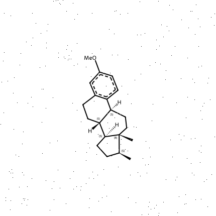 COc1ccc2c(c1)CC[C@@H]1[C@@H]2CC[C@]2(C)[C@@H](C)CC[C@@H]12